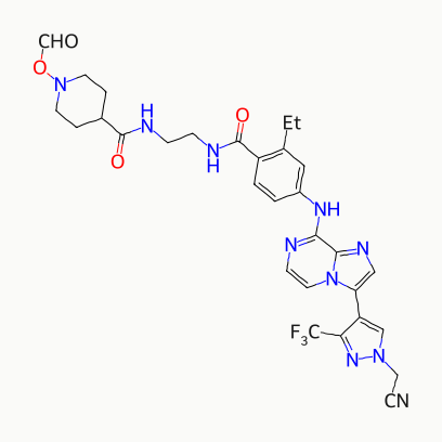 CCc1cc(Nc2nccn3c(-c4cn(CC#N)nc4C(F)(F)F)cnc23)ccc1C(=O)NCCNC(=O)C1CCN(OC=O)CC1